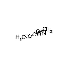 CCC[C@H]1CC[C@H]([C@H]2CC[C@@H]([C@H]3OC[C@@](C#N)(CCC)CO3)CC2)CC1